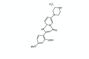 COc1ccc(C2=CC(=O)N3C=C(N4CCN[C@@H](C)C4)C=CC3P2)c(OC)c1